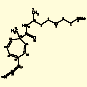 CNCCOCCC(C)NC(=O)C1(C)C=CC=C(N=[N+]=[N-])C=C1